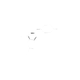 Cc1cc(CN2CCN(C)CC2)ccc1OC(C)C